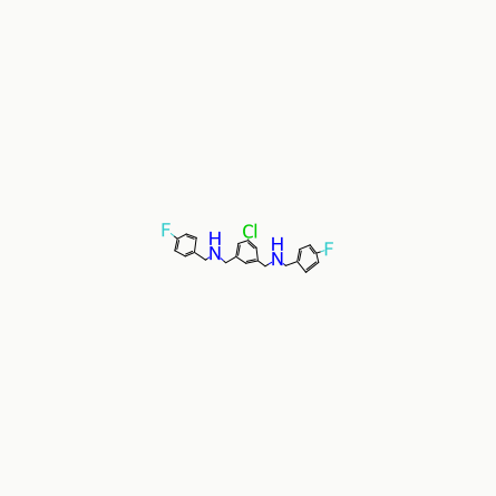 Fc1ccc(CNCc2cc(Cl)cc(CNCc3ccc(F)cc3)c2)cc1